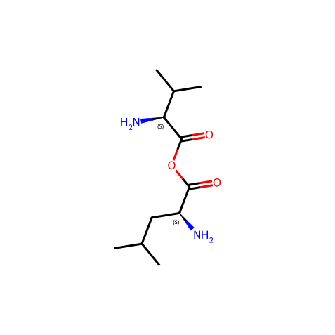 CC(C)C[C@H](N)C(=O)OC(=O)[C@@H](N)C(C)C